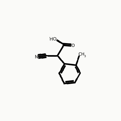 Cc1ccccc1C(C#N)C(=O)O